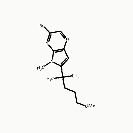 COCCCC(C)(C)c1cc2ncc(Br)nc2n1C